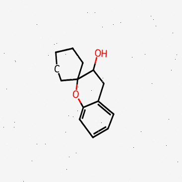 OC1Cc2ccccc2OC12CCCCC2